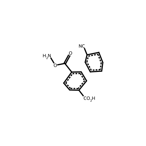 N#Cc1ccccc1.NOC(=O)c1ccc(C(=O)O)cc1